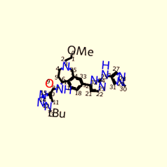 COCCN1CCC(NC(=O)c2cn(C(C)(C)C)nn2)c2ccc(-c3ccnc(Nc4cnn(C)c4)n3)cc2C1